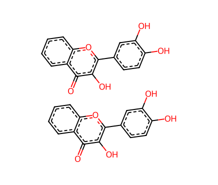 O=c1c(O)c(-c2ccc(O)c(O)c2)oc2ccccc12.O=c1c(O)c(-c2ccc(O)c(O)c2)oc2ccccc12